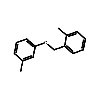 Cc1cccc(OCc2ccccc2C)c1